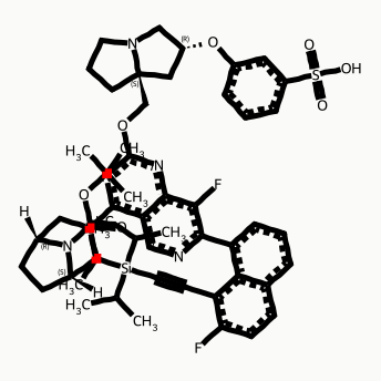 CC(C)[Si](C#Cc1c(F)ccc2cccc(-c3ncc4c(N5C[C@H]6CC[C@@H](C5)N6C(=O)OC(C)(C)C)nc(OC[C@@]56CCCN5C[C@H](Oc5cccc(S(=O)(=O)O)c5)C6)nc4c3F)c12)(C(C)C)C(C)C